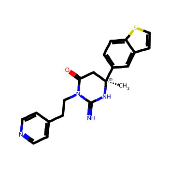 C[C@@]1(c2ccc3sccc3c2)CC(=O)N(CCc2ccncc2)C(=N)N1